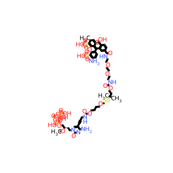 C=c1ccc2c(c1S(=O)(=O)O)Oc1c(ccc(N)c1S(=O)(=O)O)C=2c1cc(C(=O)NCCOCCOCCNC(=O)OCCC(C)(C)SSCOCCCCOC(=O)NCC#Cc2cn(CC[C@@H](COP(=O)(O)OP(=O)(O)OP(=O)(O)O)OC)c(=O)nc2N)ccc1C(=O)O